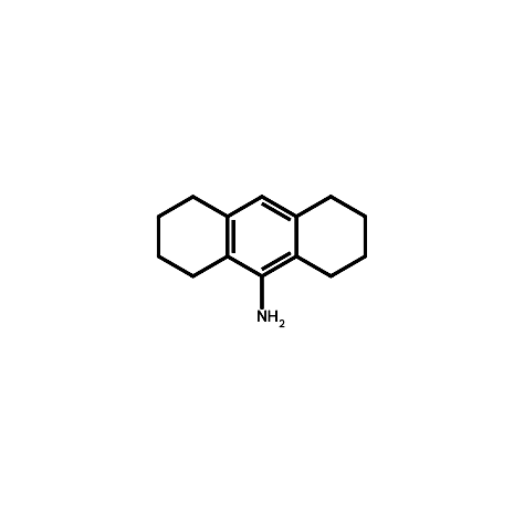 Nc1c2c(cc3c1CCCC3)CCCC2